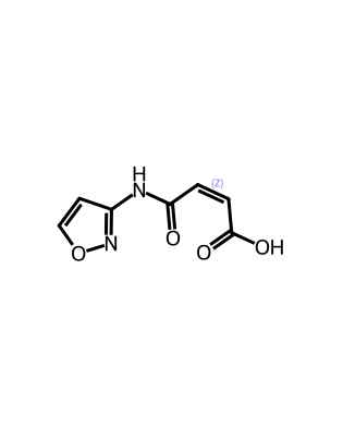 O=C(O)/C=C\C(=O)Nc1ccon1